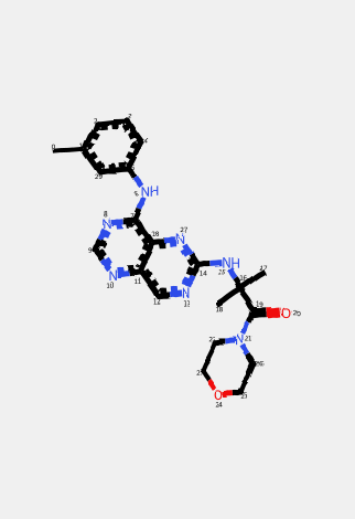 Cc1cccc(Nc2ncnc3cnc(NC(C)(C)C(=O)N4CCOCC4)nc23)c1